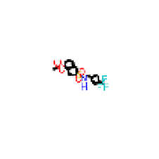 CC(=O)Oc1cccc2cc(S(=O)(=O)NCc3ccc(C(F)(F)F)cc3)ccc12